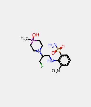 C[P]1(O)CCN(C(CF)CNc2c([N+](=O)[O-])cccc2S(N)(=O)=O)CC1